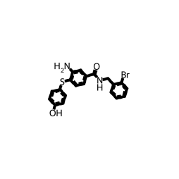 Nc1cc(C(=O)NCc2ccccc2Br)ccc1Sc1ccc(O)cc1